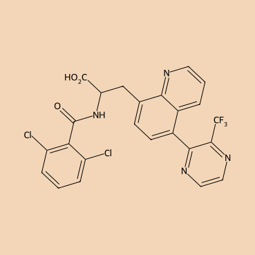 O=C(NC(Cc1ccc(-c2nccnc2C(F)(F)F)c2cccnc12)C(=O)O)c1c(Cl)cccc1Cl